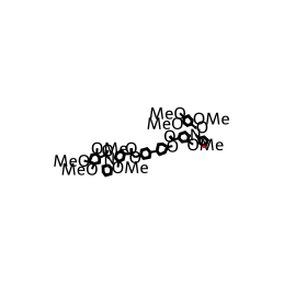 COc1cc(OC)c(C(=O)N(c2ccccc2)c2ccc(C(=O)Oc3ccc(-c4ccc(OC(=O)c5ccc(N(C(=O)c6cc(OC)c(OC)cc6OC)c6ccccc6)c(OC)c5)cc4)cc3)cc2OC)cc1OC